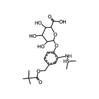 C[SH](C)Nc1cc(COC(=O)C(C)(C)C)ccc1OC1OC(C(=O)O)C(O)C(O)C1O